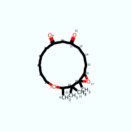 CC1OCCCCCC(=O)CC(=O)CCCC2OC2(C)C1(C)C